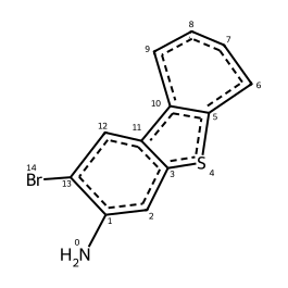 Nc1cc2sc3ccccc3c2cc1Br